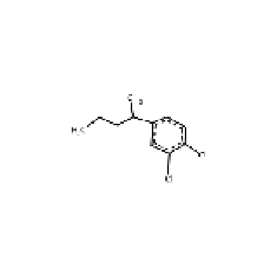 CCCC(C)c1ccc(Cl)c(Cl)c1